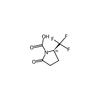 O=C(O)N1C(=O)CC[C@@H]1C(F)(F)F